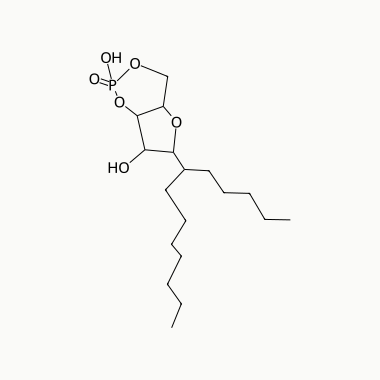 CCCCCCCC(CCCCC)C1OC2COP(=O)(O)OC2C1O